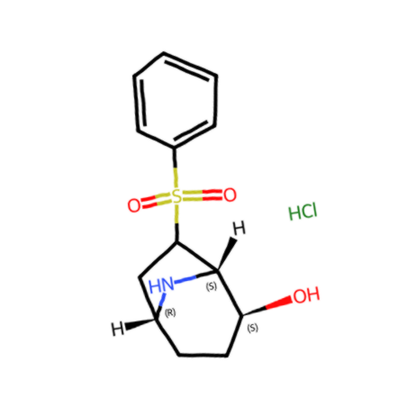 Cl.O=S(=O)(c1ccccc1)C1C[C@H]2CC[C@H](O)[C@@H]1N2